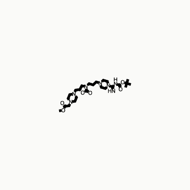 COC(=O)CN1CCN(CC2CN(CCCN3CCN(C(=N)NC(=O)OC(C)(C)C)CC3)C(=O)O2)CC1